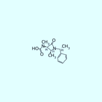 C[C@H](c1ccccc1)N1C(=O)[C@H](N(C)C(=O)O)[C@@H]1C